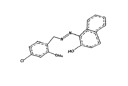 COc1cc(Cl)ccc1CN=Nc1c(O)ccc2ccccc12